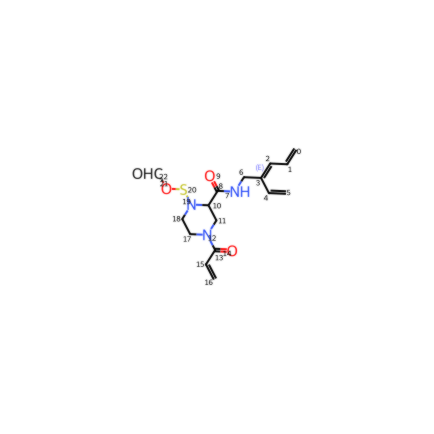 C=C/C=C(\C=C)CNC(=O)C1CN(C(=O)C=C)CCN1SOC=O